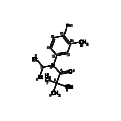 CCC(CC)N(C(=O)C(C)(C)C(C)(C)C)c1ccc(F)c(C)c1